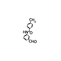 Cc1ccc(C(=O)Nc2cccc(C=O)c2)cc1